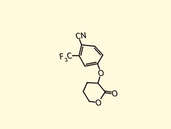 N#Cc1ccc(OC2CCCOC2=O)cc1C(F)(F)F